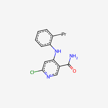 CC(C)c1ccccc1Nc1cc(Cl)ncc1C(N)=O